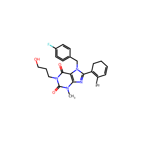 CC(C)C1=C(c2nc3c(c(=O)n(CCCO)c(=O)n3C)n2CC2=C=C=C(F)C=C2)CCC=C1